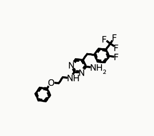 Nc1nc(NCCOc2ccccc2)ncc1Cc1ccc(F)c(C(F)(F)F)c1